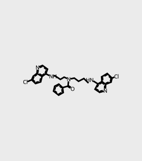 O=C(c1ccccc1)N(CCCCNc1ccnc2cc(Cl)ccc12)CCCNc1ccnc2cc(Cl)ccc12